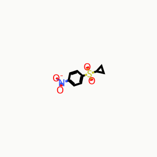 O=[N+]([O-])c1ccc(S(=O)(=O)C2CC2)cc1